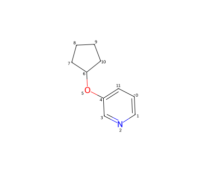 [c]1cncc(OC2CCCC2)c1